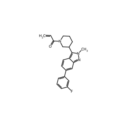 C=CC(=O)N1CCCC(c2c3ccc(-c4cccc(F)c4)cc3nn2C)C1